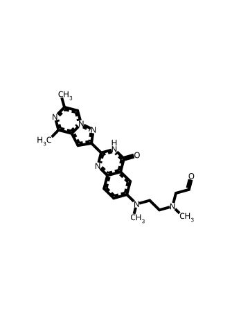 Cc1cn2nc(-c3nc4ccc(N(C)CCN(C)CC=O)cc4c(=O)[nH]3)cc2c(C)n1